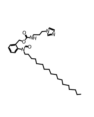 CCCCCCCCCCCCCCCCCCN(C=O)c1ccccc1COC(=O)NCCCn1ccnc1